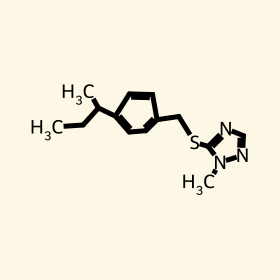 CCC(C)c1ccc(CSc2ncnn2C)cc1